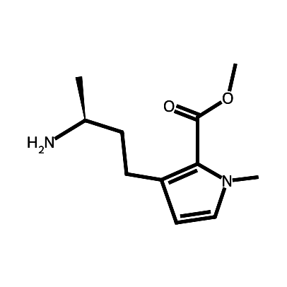 COC(=O)c1c(CC[C@H](C)N)ccn1C